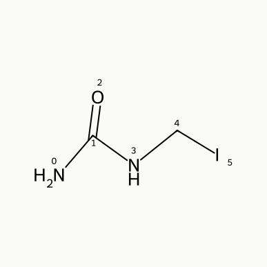 NC(=O)NCI